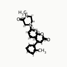 Cc1ccccc1-c1cc(=O)oc2nc(N3CCN(C)C(=O)C3)ccc12